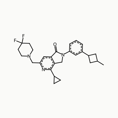 CC1CC(c2cccc(N3Cc4c(cc(CN5CCC(F)(F)CC5)nc4C4CC4)C3=O)c2)C1